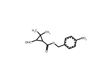 CC1(C)C(C=O)C1C(=O)OCc1ccc([N+](=O)[O-])cc1